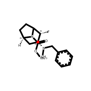 CN(Cc1ccccc1)[C@@H]1C[C@H]2CCC([C@@H]1F)N2C(=O)OC(C)(C)C